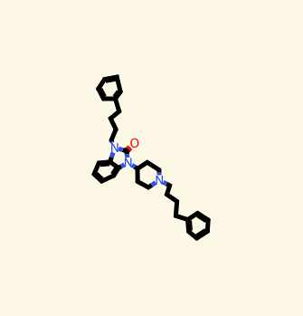 O=c1n(CCCCc2ccccc2)c2ccccc2n1C1CCN(CCCCc2ccccc2)CC1